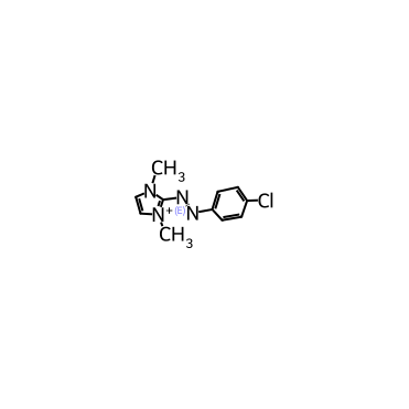 Cn1cc[n+](C)c1/N=N/c1ccc(Cl)cc1